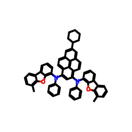 Cc1cccc2c1oc1c(N(c3ccccc3)c3cc(N(c4ccccc4)c4cccc5c4oc4c(C)cccc45)c4ccc5cc(C6CCCCC6)cc6ccc3c4c65)cccc12